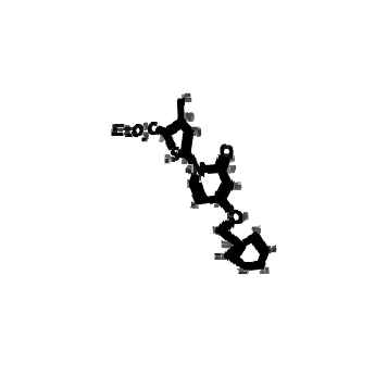 CCOC(=O)c1sc(-n2ccc(OCc3ccccc3)cc2=O)cc1C